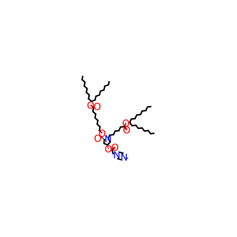 CCCCCCCCC(CCCCCCCC)OC(=O)CCCCCCCOC(=O)[C@@H]1C[C@H](OC(=O)CN2CCN(C)CC2)CN1CCCCCC(=O)OC(CCCCCCCC)CCCCCCCC